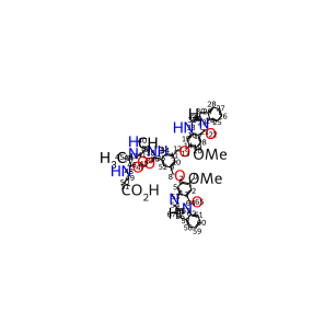 COc1cc2c(cc1OCc1cc(COc3cc4c(cc3OC)C(=O)N3c5ccccc5C[C@H]3CN4)cc(C(=O)N[C@@H](C)C(=O)N[C@@H](C)C(=O)NCCC(=O)O)c1)N=C[C@@H]1Cc3ccccc3N1C2=O